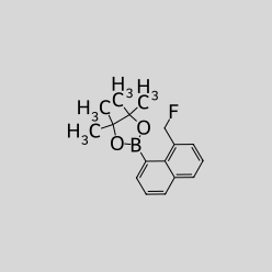 CC1(C)OB(c2cccc3cccc(CF)c23)OC1(C)C